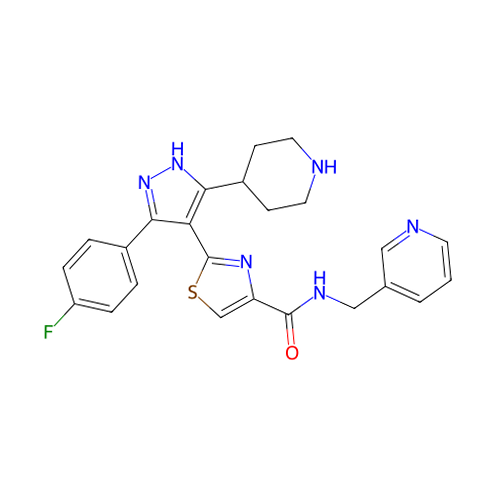 O=C(NCc1cccnc1)c1csc(-c2c(-c3ccc(F)cc3)n[nH]c2C2CCNCC2)n1